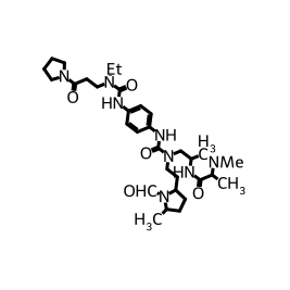 CCN(CCC(=O)N1CCCC1)C(=O)Nc1ccc(NC(=O)N(CCC2CCC(C)N2C=O)CC(C)NC(=O)C(C)NC)cc1